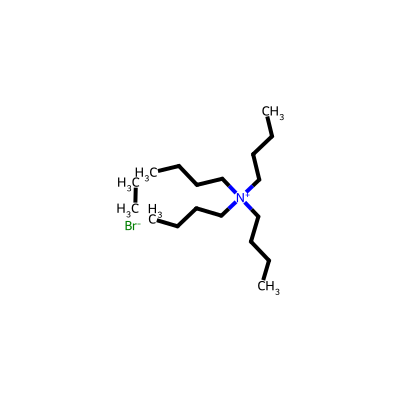 CC.CCCC[N+](CCCC)(CCCC)CCCC.[Br-]